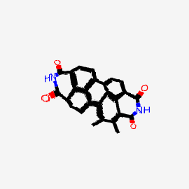 Cc1c2c3c(ccc4c5ccc6c7c(ccc(c(c1C)c34)c75)C(=O)NC6=O)C(=O)NC2=O